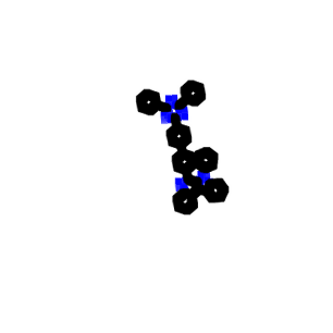 c1ccc(-c2nc(-c3ccccc3)nc(-c3ccc(-c4ccc(-c5nc6ccccc6c6c7ccccc7n(-c7ccccc7)c56)cc4)cc3)n2)cc1